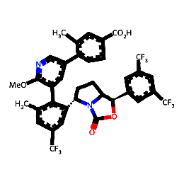 COc1ncc(-c2ccc(C(=O)O)cc2C)cc1-c1c(C)cc(C(F)(F)F)cc1[C@@H]1CCC2[C@@H](c3cc(C(F)(F)F)cc(C(F)(F)F)c3)OC(=O)N21